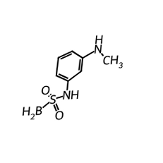 BS(=O)(=O)Nc1cccc(NC)c1